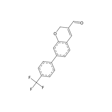 O=CC1=Cc2ccc(-c3ccc(C(F)(F)F)cc3)cc2OC1